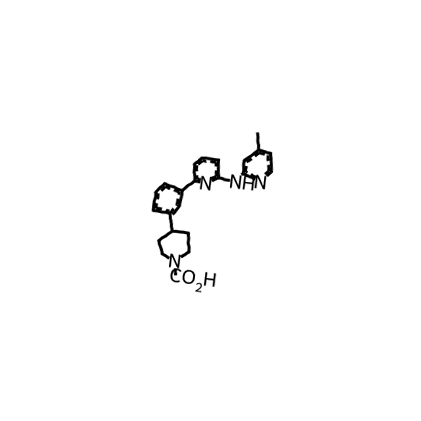 Cc1ccnc(Nc2cccc(-c3cccc(C4CCN(C(=O)O)CC4)c3)n2)c1